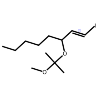 CCCCCC(/C=C/I)OC(C)(C)OC